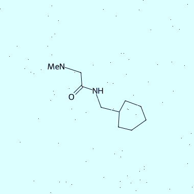 CNCC(=O)NCC1CCCCC1